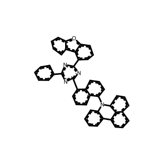 c1ccc(-c2nc(-c3cccc4c(N5c6ccccc6-c6cccc7cccc5c67)cccc34)nc(-c3cccc4oc5ccccc5c34)n2)cc1